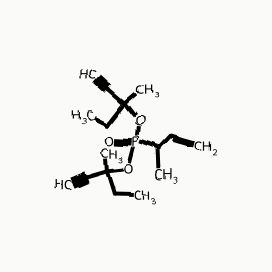 C#CC(C)(CC)OP(=O)(OC(C)(C#C)CC)C(C)C=C